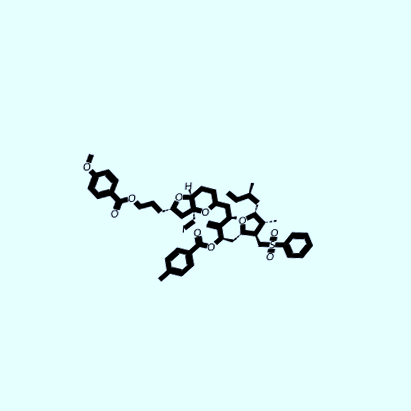 C=C([C@H](C)CC1CC[C@@H]2O[C@@H](CCCOC(=O)c3ccc(OC)cc3)C[C@]2(CI)O1)[C@@H](C[C@@H]1O[C@H](C[C@H](C)CC)[C@H](C)[C@H]1CS(=O)(=O)c1ccccc1)OC(=O)c1ccc(C)cc1